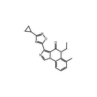 CCn1c(=O)c2c(-c3nc(C4CC4)no3)ncn2c2cccc(C)c21